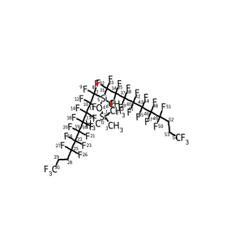 C[Si](C)(C)O[Si](C)(C(F)(F)C(F)(F)C(F)(F)C(F)(F)C(F)(F)C(F)(F)C(F)(F)CCC(F)(F)F)C(F)(F)C(F)(F)C(F)(F)C(F)(F)C(F)(F)C(F)(F)C(F)(F)CCC(F)(F)F